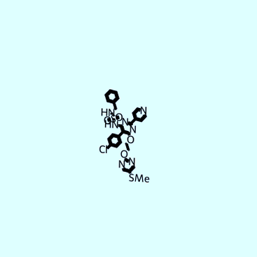 CSc1cnc(OCCOc2nc(-c3ccncc3)nc(NS(=O)(=O)NCc3ccccc3)c2-c2ccc(Cl)cc2)nc1